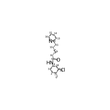 Cc1ccc(NC(=O)CSCCc2ccccn2)cc1Cl